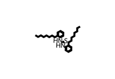 CCCCCCCCc1ccccc1NC(=S)Nc1ccccc1CCCCCCCC